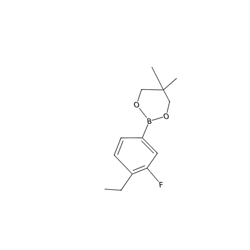 CCc1ccc(B2OCC(C)(C)CO2)cc1F